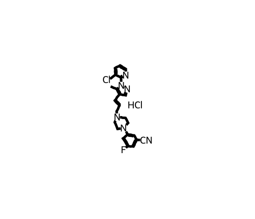 Cc1c(C=CCN2CCN(c3cc(F)cc(C#N)c3)CC2)cnn1-c1ncccc1Cl.Cl